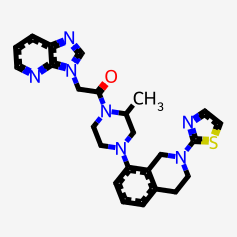 CC1CN(c2cccc3c2CN(c2nccs2)CC3)CCN1C(=O)Cn1cnc2cccnc21